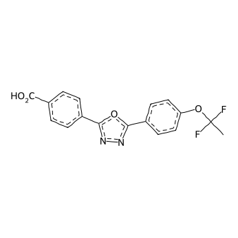 CC(F)(F)Oc1ccc(-c2nnc(-c3ccc(C(=O)O)cc3)o2)cc1